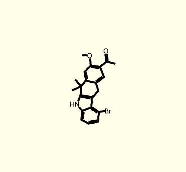 COc1cc2c(cc1C(C)=O)Cc1c([nH]c3cccc(Br)c13)C2(C)C